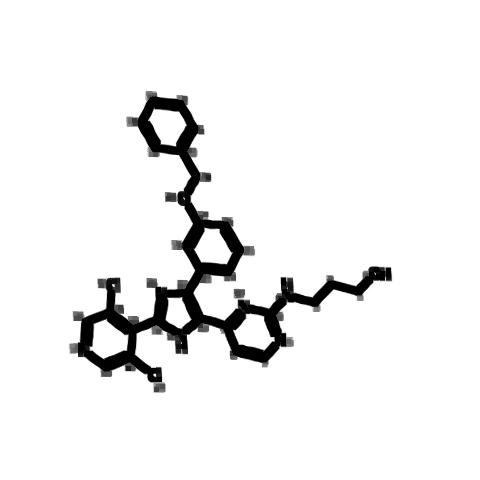 OCCCNc1nccc(-c2[nH]c(-c3c(Cl)cncc3Cl)nc2-c2cccc(OCc3ccccc3)c2)n1